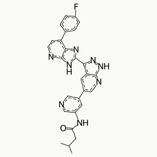 CC(C)CC(=O)Nc1cncc(-c2cnc3[nH]nc(-c4nc5c(-c6ccc(F)cc6)ccnc5[nH]4)c3c2)c1